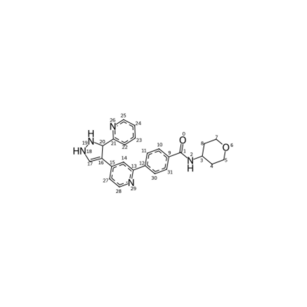 O=C(NC1CCOCC1)c1ccc(-c2cc(C3=CNNC3c3ccccn3)ccn2)cc1